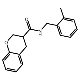 Cc1ccccc1CNC(=O)C1COc2ccccc2C1